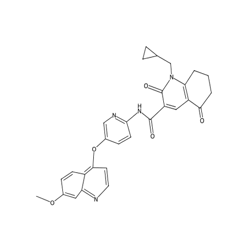 COc1ccc2c(Oc3ccc(NC(=O)c4cc5c(n(CC6CC6)c4=O)CCCC5=O)nc3)ccnc2c1